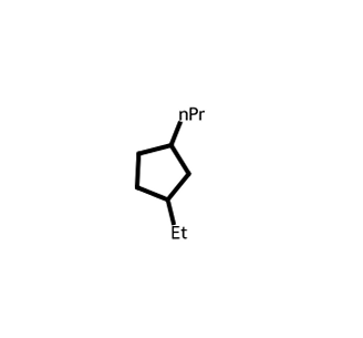 [CH2]CCC1CCC(CC)C1